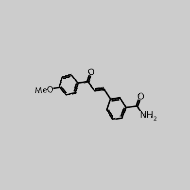 COc1ccc(C(=O)C=Cc2cccc(C(N)=O)c2)cc1